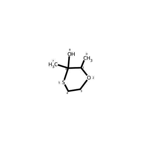 CC1OCCSC1(C)O